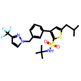 CC(C)Cc1cc(-c2cccc(Cn3ccc(C(F)(F)F)n3)c2)c(S(=O)(=O)NC(C)(C)C)s1